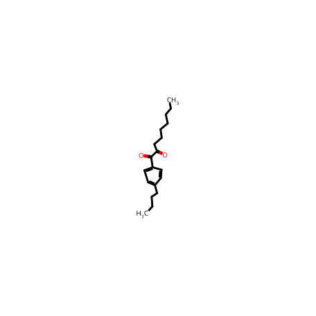 CCCCCCCC(=O)C(=O)c1ccc(CCCC)cc1